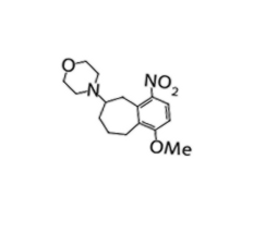 COc1ccc([N+](=O)[O-])c2c1CCCC(N1CCOCC1)C2